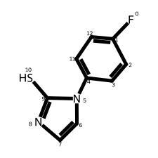 Fc1ccc(-n2ccnc2S)cc1